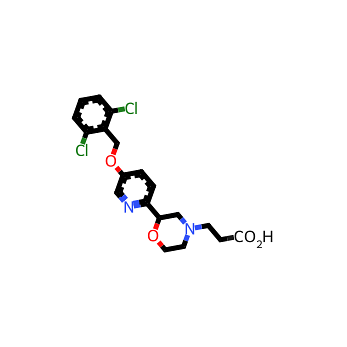 O=C(O)CCN1CCOC(c2ccc(OCc3c(Cl)cccc3Cl)cn2)C1